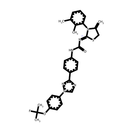 C=C1CS/C(=N\C(=O)Nc2ccc(-c3ncn(-c4ccc(OC(C)(C)F)cc4)n3)cc2)N1c1cccc(C)c1C